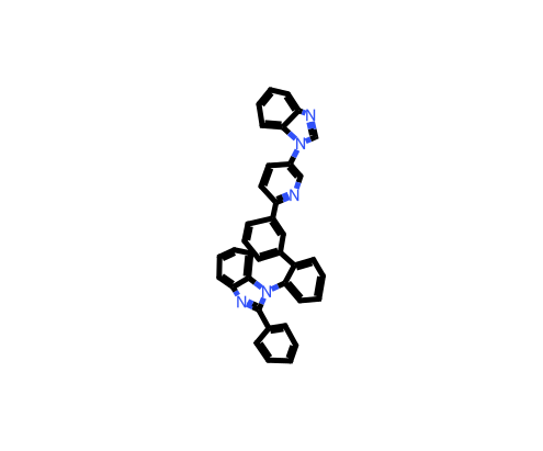 c1ccc(-c2nc3ccccc3n2-c2ccccc2-c2cccc(-c3ccc(-n4cnc5ccccc54)cn3)c2)cc1